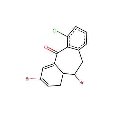 O=C1C2=CC(Br)=CCC2C(Br)Cc2cccc(Cl)c21